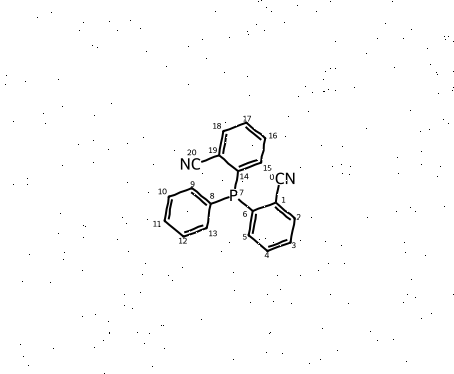 N#Cc1ccccc1P(c1ccccc1)c1ccccc1C#N